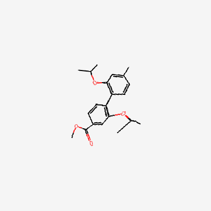 COC(=O)c1ccc(-c2ccc(C)cc2OC(C)C)c(OC(C)C)c1